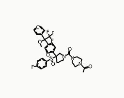 COC(c1ccccc1)(c1ccc(C2(S(=O)(=O)c3ccc(F)cc3)CCN(C(=O)N3CCN(C(C)=O)CC3)C2)cc1)C(F)(F)F